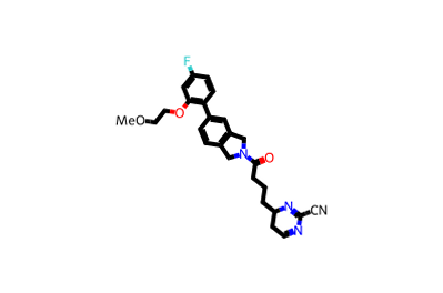 COCCOc1cc(F)ccc1-c1ccc2c(c1)CN(C(=O)CCCC1CC=NC(C#N)=N1)C2